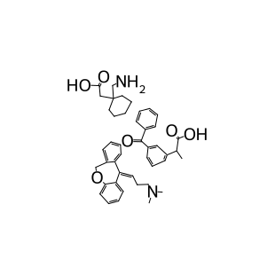 CC(C(=O)O)c1cccc(C(=O)c2ccccc2)c1.CN(C)CCC=C1c2ccccc2COc2ccccc21.NCC1(CC(=O)O)CCCCC1